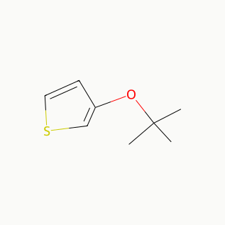 CC(C)(C)Oc1ccsc1